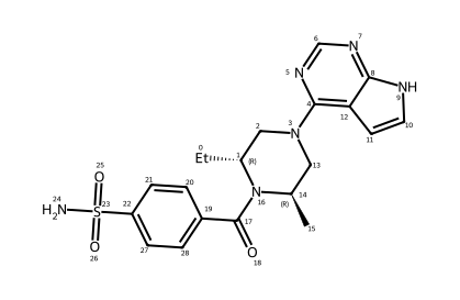 CC[C@@H]1CN(c2ncnc3[nH]ccc23)C[C@@H](C)N1C(=O)c1ccc(S(N)(=O)=O)cc1